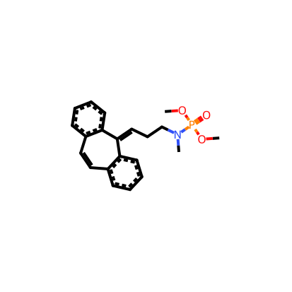 COP(=O)(OC)N(C)CCC=C1c2ccccc2C=Cc2ccccc21